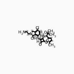 Cc1ccc([C@H](Nc2c(Nc3ccc(Cl)c4c3C(O)N(CCN)C4)c(=O)c2=O)C(C)(C)C)o1